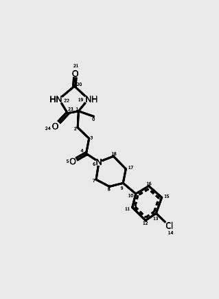 CC1(CCC(=O)N2CCC(c3ccc(Cl)cc3)CC2)NC(=O)NC1=O